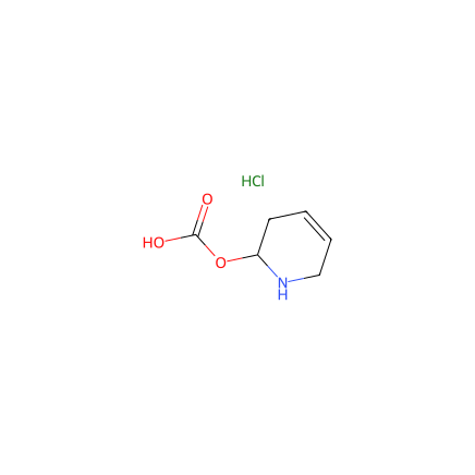 Cl.O=C(O)OC1CC=CCN1